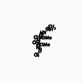 C=C1CC[C@@H](CNCc2ncc(-c3cccc(-c4cccc(-c5cnc(CN6CCC(C7=CCCC=N7)C6)c(OC)n5)c4Cl)c3Cl)nc2OC)N1